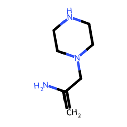 C=C(N)CN1CCNCC1